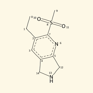 CCc1cc2c(nc1S(C)(=O)=O)CNC2